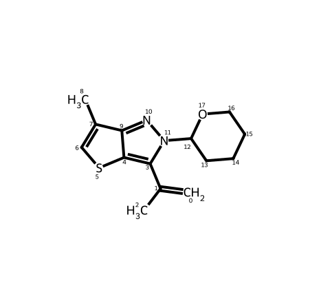 C=C(C)c1c2scc(C)c2nn1C1CCCCO1